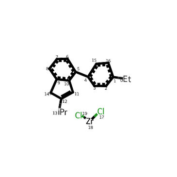 CCc1ccc(-c2cccc3c2C=C(C(C)C)[CH]3)cc1.[Cl][Zr][Cl]